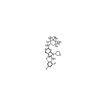 [2H]C1([2H])CC(Nc2ncc3nc(Nc4c(F)cc(F)cc4F)n(C4CCOC4)c3n2)C([2H])([2H])C([2H])([2H])C1([2H])O